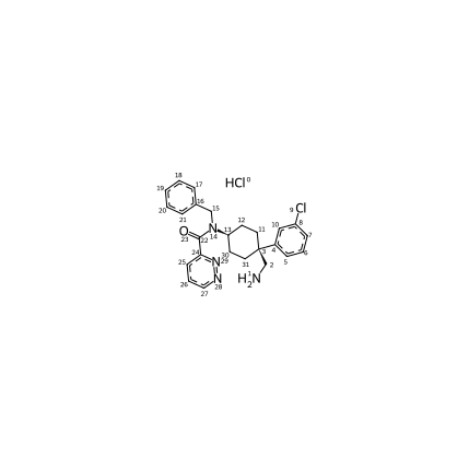 Cl.NC[C@]1(c2cccc(Cl)c2)CC[C@H](N(Cc2ccccc2)C(=O)c2cccnn2)CC1